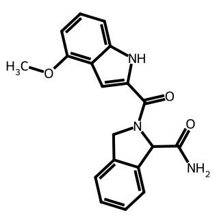 COc1cccc2[nH]c(C(=O)N3Cc4ccccc4C3C(N)=O)cc12